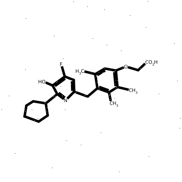 Cc1cc(OCC(=O)O)c(C)c(C)c1Cc1cc(F)c(O)c(C2CCCCC2)n1